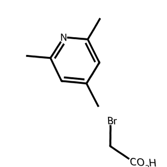 Cc1cc(C)nc(C)c1.O=C(O)CBr